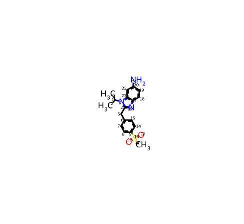 CC(C)n1c(Cc2ccc(S(C)(=O)=O)cc2)nc2ccc(N)cc21